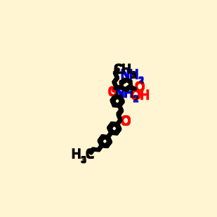 CCCCC(Oc1ccc(/C=C/C(=O)c2ccc(-c3ccc(CCC)cc3)cc2)cc1)C1(N)C=C(N)CC(C(=O)O)=C1